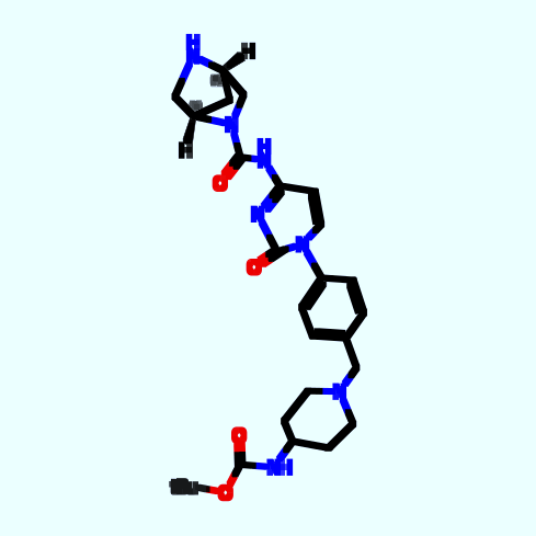 CC(C)(C)OC(=O)NC1CCN(Cc2ccc(-n3ccc(NC(=O)N4C[C@@H]5C[C@H]4CN5)nc3=O)cc2)CC1